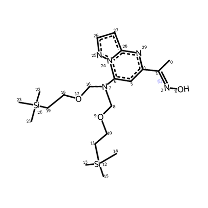 C/C(=N\O)c1cc(N(COCC[Si](C)(C)C)COCC[Si](C)(C)C)n2nccc2n1